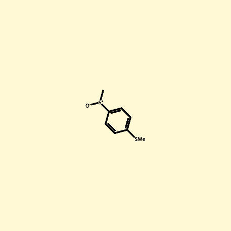 CSc1ccc([S+](C)[O-])cc1